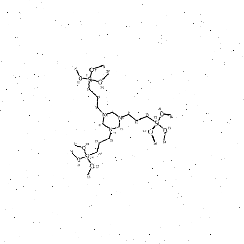 CO[Si](CCCN1CN(CCC[Si](OC)(OC)OC)CN(CCC[Si](OC)(OC)OC)C1)(OC)OC